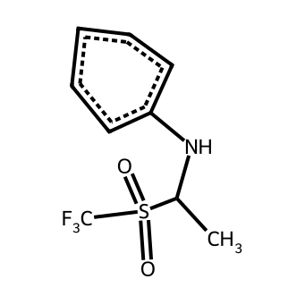 CC(Nc1ccccc1)S(=O)(=O)C(F)(F)F